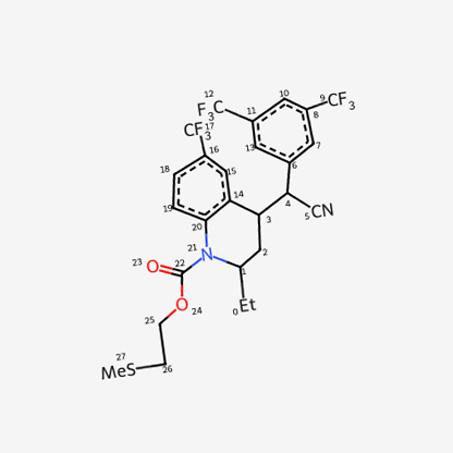 CCC1CC(C(C#N)c2cc(C(F)(F)F)cc(C(F)(F)F)c2)c2cc(C(F)(F)F)ccc2N1C(=O)OCCSC